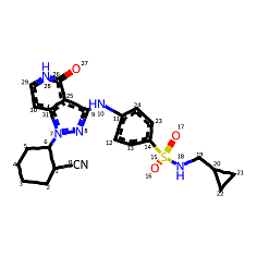 N#CC1CCCCC1n1nc(Nc2ccc(S(=O)(=O)NCC3CC3)cc2)c2c(=O)[nH]ccc21